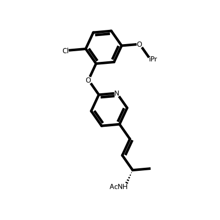 CC(=O)N[C@@H](C)/C=C/c1ccc(Oc2cc(OC(C)C)ccc2Cl)nc1